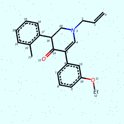 C=CCN1C=C(c2cccc(OCC)c2)C(=O)C(c2ccccc2C)C1